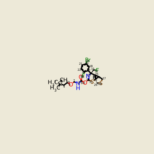 C[Si](C)(C)CCOCNC(=O)OC1=N[C@](CF)(c2cc(Br)ccc2F)[C@H]2C3CSC[C@@]32S1